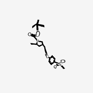 CC1CC(COc2ccc(S(C)(=O)=O)cc2)CN1C(=O)OC(C)(C)C